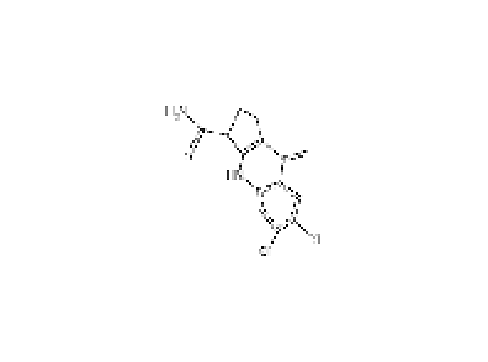 C=C1C2=C(Nc3cc(Cl)c(Cl)cc31)C(C(N)=O)CC2